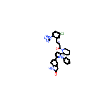 O=C1Cc2cc(-c3ccc([C@@H]4[C@H](c5ccccc5)CCCN4C(=O)/C=C/c4cc(Cl)ccc4-n4cnnn4)[nH]3)ccc2N1